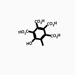 Cc1c(O)c(C(=O)O)c(C(=O)O)c(C(=O)O)c1C(=O)O